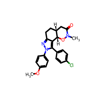 COc1ccc(-n2nc3c(c2-c2ccc(Cl)cc2)[C@H]2ON(C)C(=O)C[C@H]2CC3)cc1